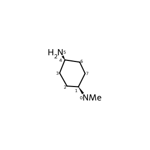 [CH2-][NH2+][C@H]1CC[C@@H](N)CC1